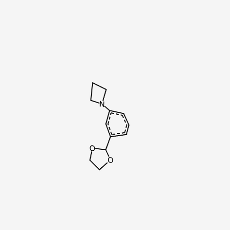 c1cc(C2OCCO2)cc(N2CCC2)c1